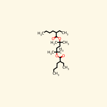 CCCCC(CC)C(=O)OC(C)(C)CCC(C)(C)OC(=O)C(CC)CCCC